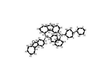 c1ccc(-c2ccc(N(c3ccccc3)c3ccc4sc5cccc(N(c6ccccc6)c6ccc7c(c6)oc6ccccc67)c5c4c3)cc2)cc1